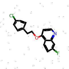 Fc1ccc2c(OCCc3ccc(Cl)cc3)ccnc2c1